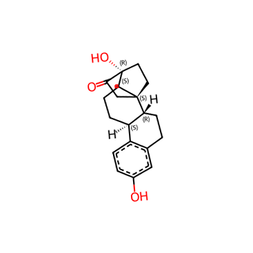 C[C@]12CC[C@@H]3c4ccc(O)cc4CC[C@H]3[C@@]13CC[C@]2(O)C(=O)C3